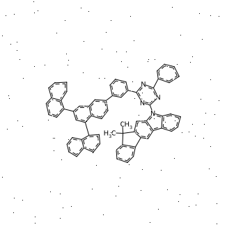 CC1(C)c2ccccc2-c2cc3c4ccccc4n(-c4nc(-c5ccccc5)nc(-c5cccc(-c6ccc7c(-c8cccc9ccccc89)cc(-c8cccc9ccccc89)cc7c6)c5)n4)c3cc21